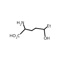 CCC(O)CCC(N)C(=O)O